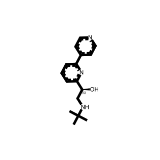 CC(C)(C)NC[C@H](O)c1cccc(-c2ccncc2)n1